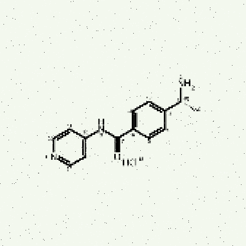 C[C@@H](N)c1ccc(C(=O)Nc2ccncc2)cc1.Cl